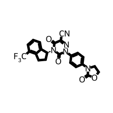 N#Cc1nn(-c2ccc(N3CCOC3=O)cc2)c(=O)n([C@@H]2CCc3c2cccc3C(F)(F)F)c1=O